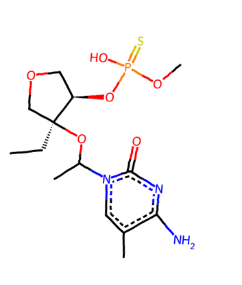 CC[C@]1(OC(C)n2cc(C)c(N)nc2=O)COC[C@H]1OP(O)(=S)OC